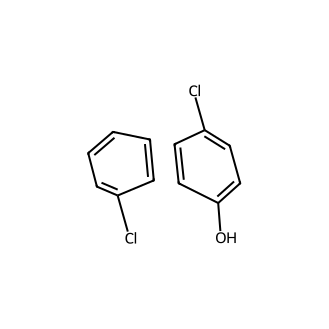 Clc1ccccc1.Oc1ccc(Cl)cc1